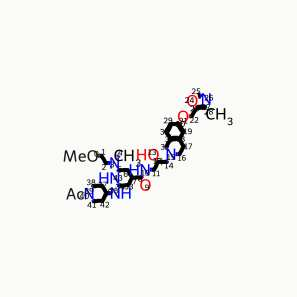 COCCN(C)C1CC(C(=O)NC[C@H](O)CN2CCc3cc(OCc4ocnc4C)ccc3C2)CC(NC2CCN(C(C)=O)CC2)N1